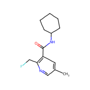 Cc1cnc(CF)c(C(=O)NC2CCCCC2)c1